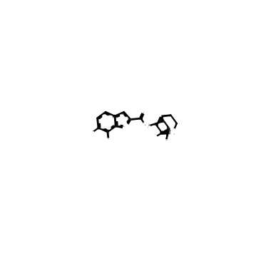 Cc1ccc2cc(C(=O)NC3C4CCN(CC4)C3(C)C)sc2c1C(F)(F)F